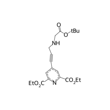 CCOC(=O)c1cc(C#CCNCC(=O)OC(C)(C)C)cc(C(=O)OCC)n1